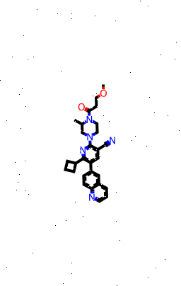 COCCC(=O)N1CCN(c2nc(C3CCC3)c(-c3ccc4ncccc4c3)cc2C#N)CC1C